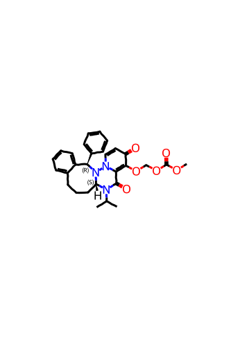 COC(=O)OCOc1c2n(ccc1=O)N1[C@H](c3ccccc3)c3ccccc3CCC[C@H]1N(C(C)C)C2=O